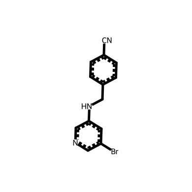 N#Cc1ccc(CNc2cncc(Br)c2)cc1